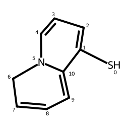 SC1=CC=CN2CC=CC=C12